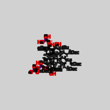 CCCCCCCCCCCCCC(CCCCCCCCCCCCC)(CCCCCCCCCCCCC)C(CCCCCCCCCCCCC)(c1cc(C(C)(C)C)c(O)cc1C)C(CCCCCCCCCCCCC)(CCCCCCCCCCCCC)[C]([Ta+4])(c1cc(C(C)(C)C)c(O)cc1C)c1cc(C(C)(C)C)c(O)cc1C.OP(O)O.[O-]P(O)O.[O-]P([O-])[O-]